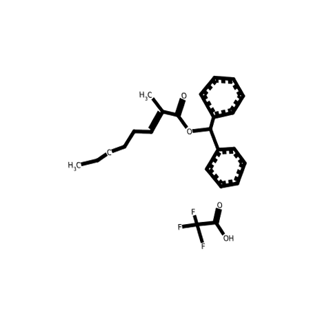 CCCCCC=C(C)C(=O)OC(c1ccccc1)c1ccccc1.O=C(O)C(F)(F)F